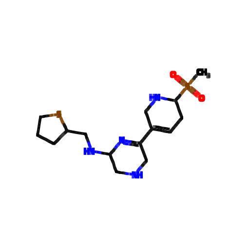 CS(=O)(=O)C1CC=C(C2=NC(NCC3CCCS3)CNC2)CN1